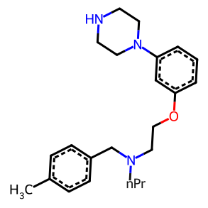 CCCN(CCOc1cccc(N2CCNCC2)c1)Cc1ccc(C)cc1